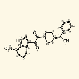 N#CC(=C1CCN(C(=O)C(=O)c2c[nH]c3c([N+](=O)[O-])cccc23)CC1)c1ccccc1